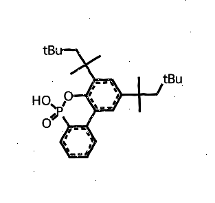 CC(C)(C)CC(C)(C)c1cc2c(c(C(C)(C)CC(C)(C)C)c1)OP(=O)(O)c1ccccc1-2